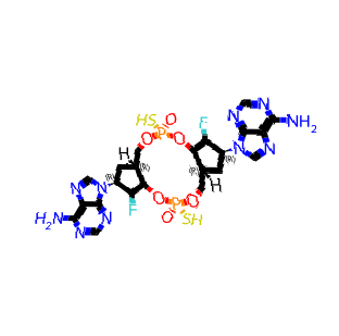 Nc1ncnc2c1ncn2[C@@H]1C[C@@H]2COP(=O)(S)OC3C(F)[C@H](n4cnc5c(N)ncnc54)C[C@@H]3COP(=O)(S)OC2C1F